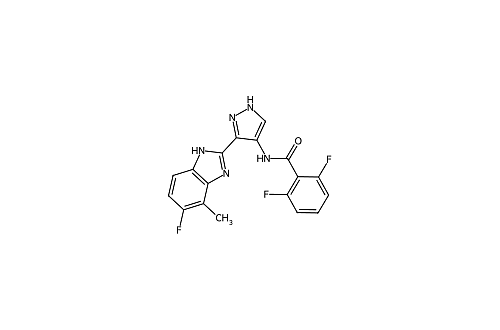 Cc1c(F)ccc2[nH]c(-c3n[nH]cc3NC(=O)c3c(F)cccc3F)nc12